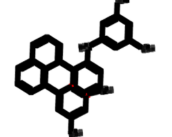 CC(C)(C)c1cc(Nc2ccccc2-c2cccc3cccc(-c4cc(C(C)(C)C)cc(C(C)(C)C)c4)c23)cc(C(C)(C)C)c1